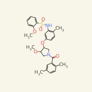 COc1ccccc1S(=O)(=O)Nc1cc(OC2CN(C(=O)c3cc(C)ccc3C)CC2OC)ccc1C